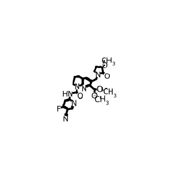 COC(OC)c1nc2c(cc1CN1CC[C@@H](OC)C1=O)CCCN2C(=O)Nc1cc(F)c(C#N)cn1